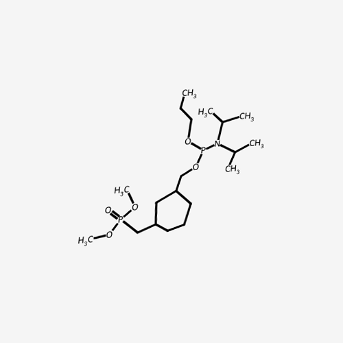 CCCOP(OCC1CCCC(CP(=O)(OC)OC)C1)N(C(C)C)C(C)C